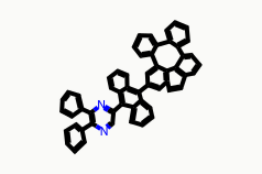 c1ccc(-c2ncc(-c3c4ccccc4c(-c4cc5ccc6cccc7c8ccccc8c8ccccc8c(c4)c5c67)c4ccccc34)nc2-c2ccccc2)cc1